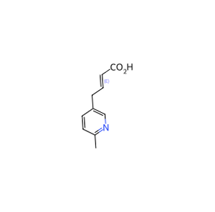 Cc1ccc(C/C=C/C(=O)O)cn1